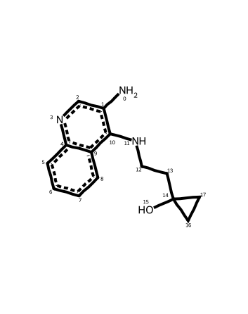 Nc1cnc2ccccc2c1NCCC1(O)CC1